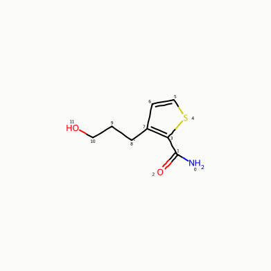 NC(=O)c1sccc1[CH]CCO